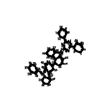 c1ccc(-c2nc(-c3ccccc3)nc(-n3c4ccccc4c4c(-c5cc6c7ccccc7n(-c7ccccc7)c6cn5)cccc43)n2)cc1